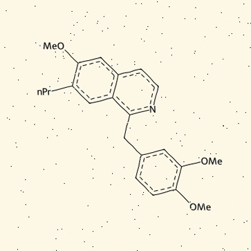 CCCc1cc2c(Cc3ccc(OC)c(OC)c3)nccc2cc1OC